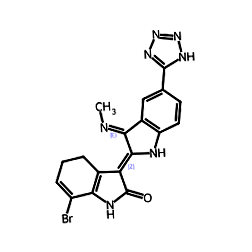 C/N=C1/C(=C2/C(=O)NC3=C2CCC=C3Br)Nc2ccc(-c3nnn[nH]3)cc21